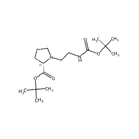 CC(C)(C)OC(=O)NCCN1CCC[C@H]1C(=O)OC(C)(C)C